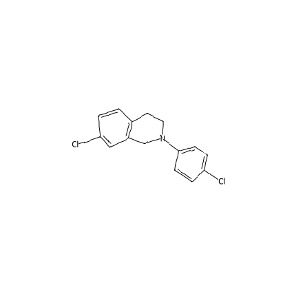 Clc1ccc(N2CCc3ccc(Cl)cc3C2)cc1